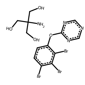 Brc1ccc(Oc2ncncn2)c(Br)c1Br.NC(CO)(CO)CO